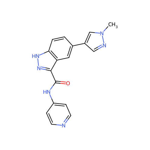 Cn1cc(-c2ccc3[nH]nc(C(=O)Nc4ccncc4)c3c2)cn1